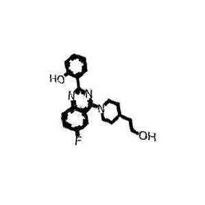 OCCC1CCN(c2nc(-c3ccccc3O)nc3ccc(F)cc23)CC1